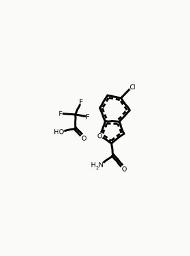 NC(=O)c1cc2cc(Cl)ccc2o1.O=C(O)C(F)(F)F